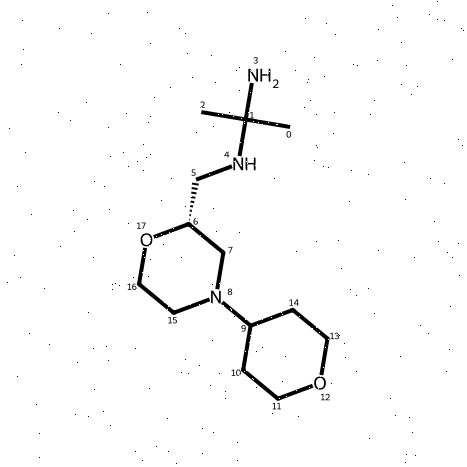 CC(C)(N)NC[C@@H]1CN(C2CCOCC2)CCO1